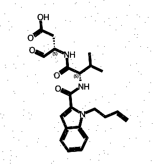 C=CCCn1c(C(=O)N[C@H](C(=O)N[C@H](C=O)CC(=O)O)C(C)C)cc2ccccc21